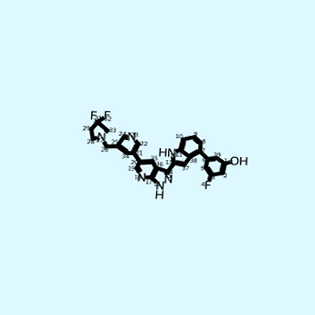 Oc1cc(F)cc(-c2cccc3[nH]c(-c4n[nH]c5ncc(-c6cncc(CN7CCC(F)(F)C7)c6)cc45)cc23)c1